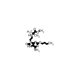 CCCCOc1nc(N)c2[nH]c(=O)n(CCNC(C)(C)C(=O)OC)c2n1